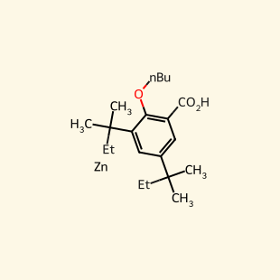 CCCCOc1c(C(=O)O)cc(C(C)(C)CC)cc1C(C)(C)CC.[Zn]